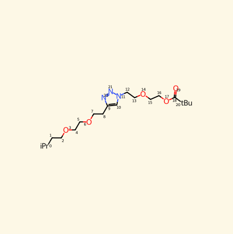 CC(C)CCOCCOCCc1cn(CCOCCOC(=O)C(C)(C)C)nn1